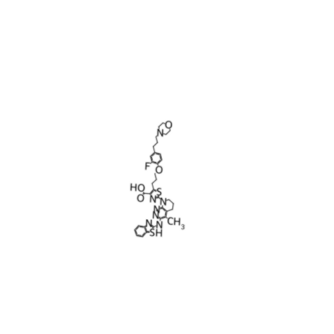 Cc1c(Nc2nc3ccccc3s2)nnc2c1CCCN2c1nc(C(=O)O)c(CCCOc2ccc(CCCN3CCOCC3)cc2F)s1